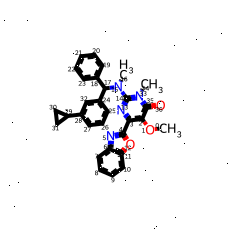 COc1c(-c2nc3ccccc3o2)nc(N(C)C(c2ccccc2)c2cccc(C3CC3)c2)n(C)c1=O